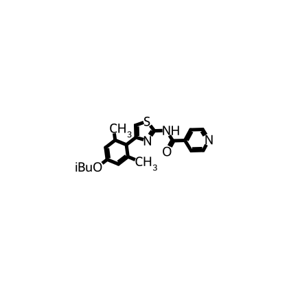 CC1=CC(OCC(C)C)=CC(C)C1c1csc(NC(=O)c2ccncc2)n1